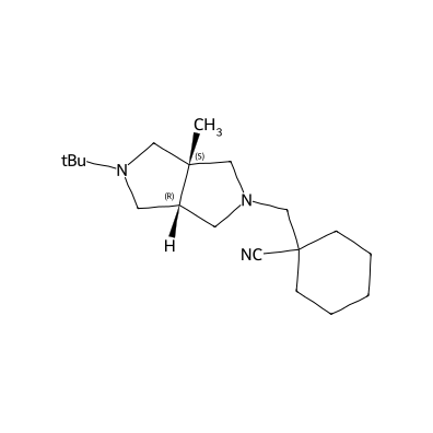 CC(C)(C)N1C[C@H]2CN(CC3(C#N)CCCCC3)C[C@@]2(C)C1